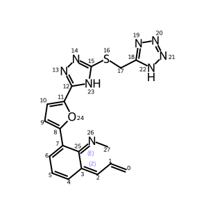 C=C/C=C1/C=CC=C(c2ccc(-c3nnc(SCc4nnn[nH]4)[nH]3)o2)/C1=N/C